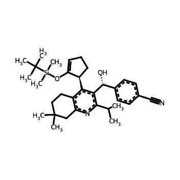 CC(C)c1nc2c(c([C@@H]3CCC=C3O[Si](C)(C)C(C)(C)C)c1[C@H](O)c1ccc(C#N)cc1)CCC(C)(C)C2